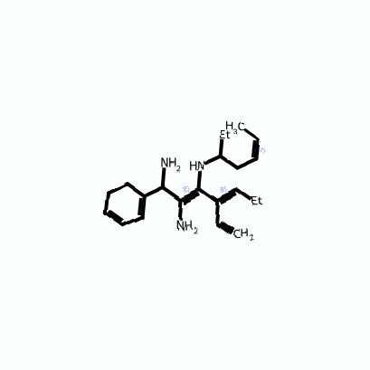 C=CC(=C\CC)/C(NC(CC)C/C=C\C)=C(\N)C(N)C1=CC=CCC1